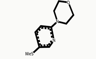 CSc1ccc(N2CCOCC2)nc1